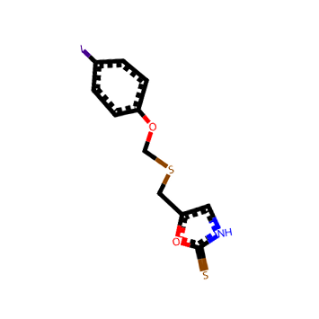 S=c1[nH]cc(CSCOc2ccc(I)cc2)o1